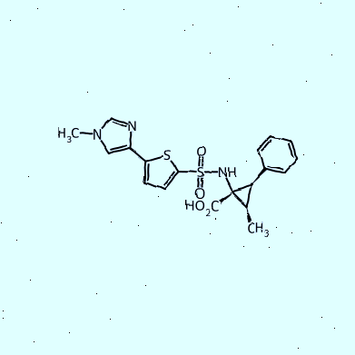 C[C@@H]1[C@H](c2ccccc2)[C@]1(NS(=O)(=O)c1ccc(-c2cn(C)cn2)s1)C(=O)O